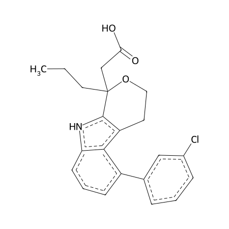 CCCC1(CC(=O)O)OCCc2c1[nH]c1cccc(-c3cccc(Cl)c3)c21